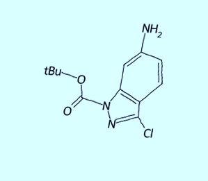 CC(C)(C)OC(=O)n1nc(Cl)c2ccc(N)cc21